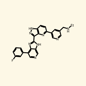 CCNCc1cncc(-c2ccc3[nH]nc(-c4nc5c(-c6cccc(F)c6)cncc5[nH]4)c3n2)c1